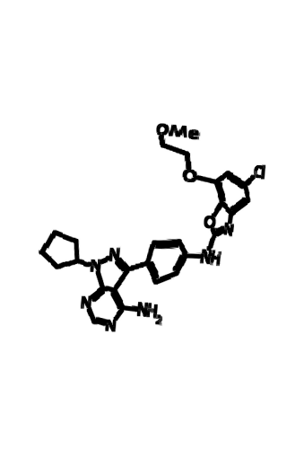 COCCOc1cc(Cl)cc2nc(Nc3ccc(-c4nn(C5CCCC5)c5ncnc(N)c45)cc3)oc12